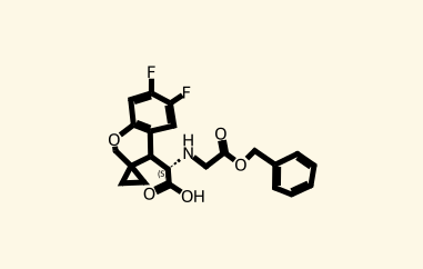 O=C(CN[C@H](C(=O)O)C1c2cc(F)c(F)cc2OCC12CC2)OCc1ccccc1